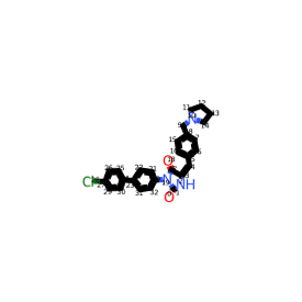 O=C1NC(=Cc2ccc(CN3CCCC3)cc2)C(=O)N1c1ccc(-c2ccc(Cl)cc2)cc1